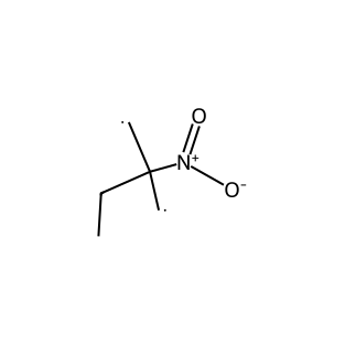 [CH2]C([CH2])(CC)[N+](=O)[O-]